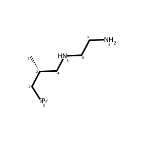 CC(C)C[C@H](C)CNCCN